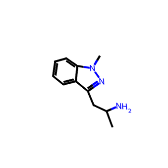 CC(N)Cc1nn(C)c2ccccc12